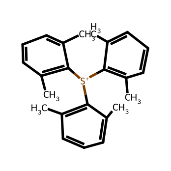 Cc1cccc(C)c1[S+](c1c(C)cccc1C)c1c(C)cccc1C